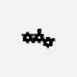 Cc1nccc(-c2cc(Cl)cc(Oc3cccnc3)c2)n1